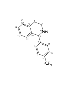 FC(F)(F)c1ccc(C2NCCc3ncccc32)cc1